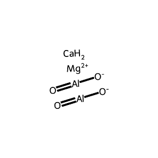 [CaH2].[Mg+2].[O]=[Al][O-].[O]=[Al][O-]